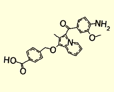 COc1cc(C(=O)c2c(C)c(OCc3ccc(C(=O)O)cc3)c3ccccn23)ccc1N